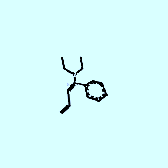 C=C/C=C(\c1ccccc1)N(CC)CC